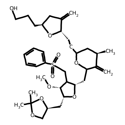 C=C1C(C[C@@H]2O[C@H](C[C@H]3COC(C)(C)O3)[C@H](OC)C2CS(=O)(=O)c2ccccc2)OC(CC[C@@H]2O[C@@H](CCCO)CC2=C)C[C@H]1C